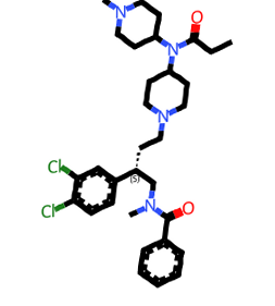 CCC(=O)N(C1CCN(C)CC1)C1CCN(CC[C@H](CN(C)C(=O)c2ccccc2)c2ccc(Cl)c(Cl)c2)CC1